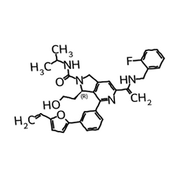 C=Cc1ccc(-c2cccc(-c3nc(C(=C)NCc4ccccc4F)cc4c3[C@@H](CCO)N(C(=O)NC(C)C)C4)c2)o1